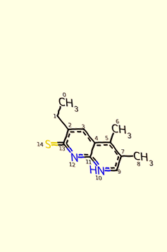 CCc1cc2c(C)c(C)c[nH]c-2nc1=S